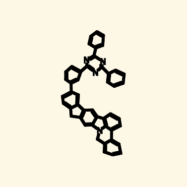 c1ccc(-c2nc(-c3ccccc3)nc(-c3cccc(-c4ccc5c(c4)-c4cc6c7cccc8c7n(c6cc4C5)Cc4ccccc4-8)c3)n2)cc1